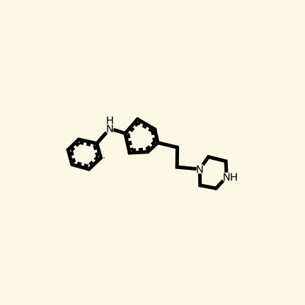 [c]1ccccc1Nc1ccc(CCN2CCNCC2)cc1